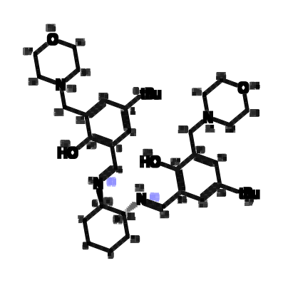 CC(C)(C)c1cc(/C=N/[C@@H]2CCCC[C@H]2/N=C/c2cc(C(C)(C)C)cc(CN3CCOCC3)c2O)c(O)c(CN2CCOCC2)c1